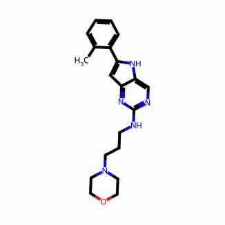 Cc1ccccc1-c1cc2nc(NCCCN3CCOCC3)ncc2[nH]1